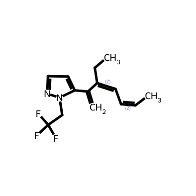 C=C(/C(=C\C=C/C)CC)c1ccnn1CC(F)(F)F